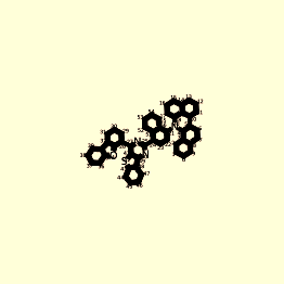 c1ccc2c3c(ccc2c1)-c1cccc2cccc(c12)N3c1ccc(-c2nc(-c3cccc4c3oc3ccccc34)c3sc4ccccc4c3n2)c2ccccc12